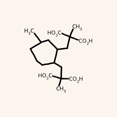 CC1CCCC(CC(C)(C(=O)O)C(=O)O)C(CC(C)(C(=O)O)C(=O)O)C1